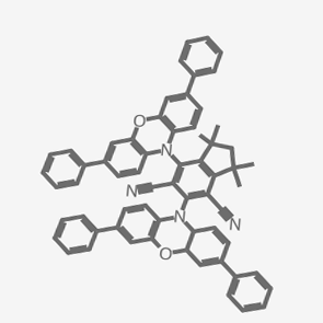 CC1(C)CC(C)(C)c2c(N3c4ccc(-c5ccccc5)cc4Oc4cc(-c5ccccc5)ccc43)c(C#N)c(N3c4ccc(-c5ccccc5)cc4OC4C=C(c5ccccc5)C=CC43)c(C#N)c21